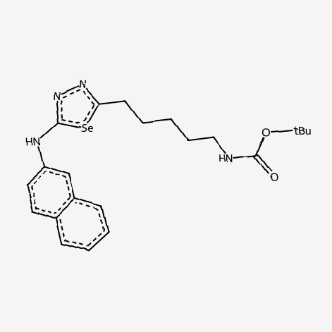 CC(C)(C)OC(=O)NCCCCCc1nnc(Nc2ccc3ccccc3c2)[se]1